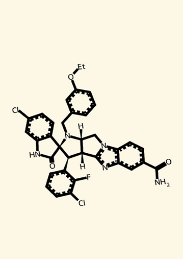 CCOc1cccc(CN2[C@@H]3Cn4c(nc5cc(C(N)=O)ccc54)[C@@H]3[C@@H](c3cccc(Cl)c3F)[C@@]23C(=O)Nc2cc(Cl)ccc23)c1